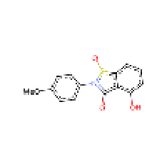 COc1ccc(-n2c(=O)c3c(O)cccc3[s+]2[O-])cc1